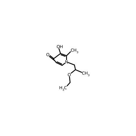 CCOC(C)Cn1ccc(=O)c(O)c1C